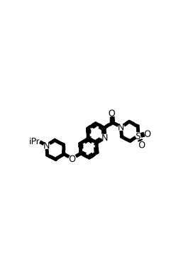 CC(C)N1CCC(Oc2ccc3nc(C(=O)N4CCS(=O)(=O)CC4)ccc3c2)CC1